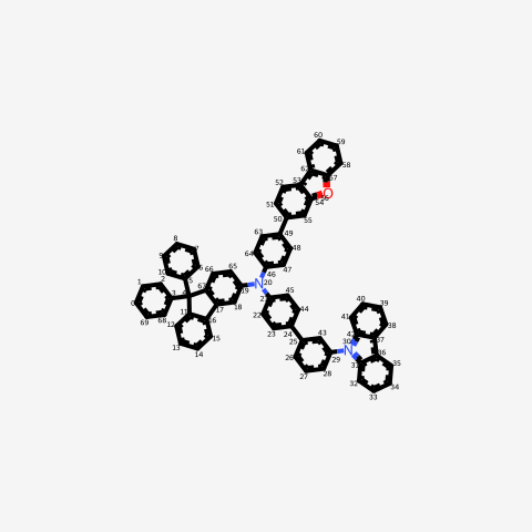 c1ccc(C2(c3ccccc3)c3ccccc3-c3cc(N(c4ccc(-c5cccc(-n6c7ccccc7c7ccccc76)c5)cc4)c4ccc(-c5ccc6c(c5)oc5ccccc56)cc4)ccc32)cc1